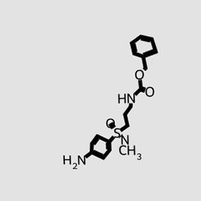 CN=S(=O)(CCCNC(=O)OCc1ccccc1)c1ccc(N)cc1